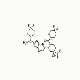 N[C@H](c1cn2ncc(C3CC(O)(C(F)F)CCN3C(=O)[C@@H]3CCC(F)(F)CO3)nc2n1)C1CCC(F)(F)CC1